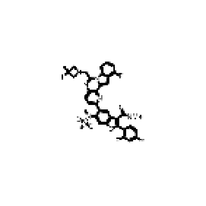 CNC(=O)c1c(-c2ccc(F)cc2F)oc2cc(N(C)S(C)(=O)=O)c(-c3ccc4nc(CN5CC(C)(F)C5)n5c6cccc(F)c6cc5c4n3)cc12